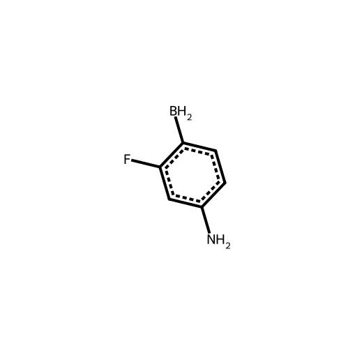 Bc1ccc(N)cc1F